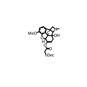 CCCCCCCCCCCC(=O)OC1=CCC2(O)C3N(C)CC34CC23c2c4ccc(OC)c2O[C@@H]13